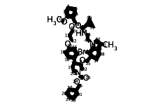 COc1ccccc1COCCCOc1ccc(C2CCN(C(=O)OCc3ccccc3)CC2OCc2ccc3c(C)cn(CCNC(=O)C4CC4)c3c2Br)cc1